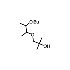 CC(C)COC(C)C(C)OCC(C)(C)O